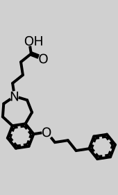 O=C(O)CCCN1CCc2cccc(OCCCc3ccccc3)c2CC1